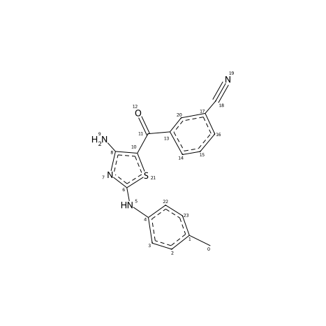 Cc1ccc(Nc2nc(N)c(C(=O)c3cccc(C#N)c3)s2)cc1